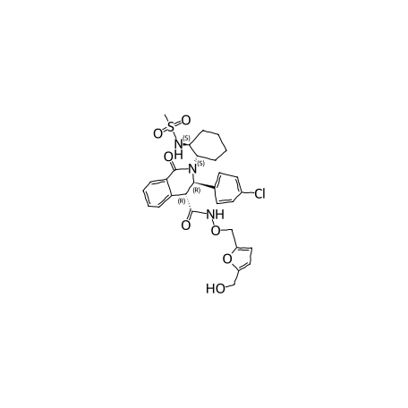 CS(=O)(=O)N[C@H]1CCCC[C@@H]1N1C(=O)c2ccccc2[C@@H](C(=O)NOCc2ccc(CO)o2)[C@@H]1c1ccc(Cl)cc1